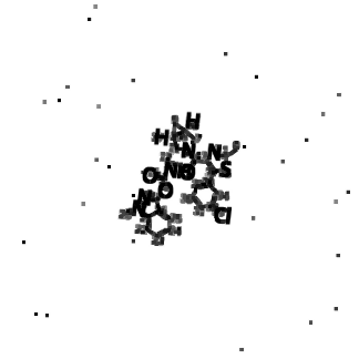 Cc1nc(C(=O)N2C[C@@H]3C[C@@H]3[C@H]2CNC(=O)Oc2nn(C)c3ccccc23)c(-c2cccc(Cl)c2)s1